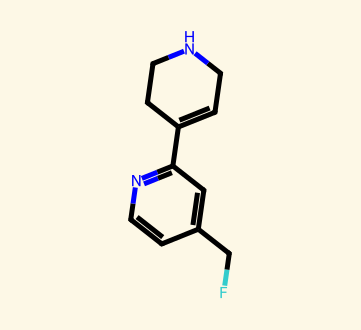 FCc1ccnc(C2=CCNCC2)c1